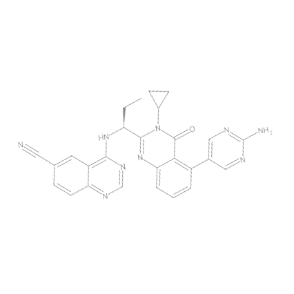 CC[C@H](Nc1ncnc2ccc(C#N)cc12)c1nc2cccc(-c3cnc(N)nc3)c2c(=O)n1C1CC1